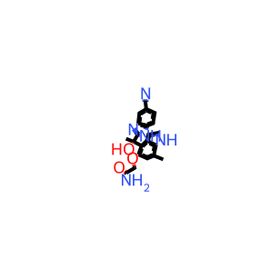 Cc1cc(OCC(N)=O)c(C(C)(O)c2nc3cc(C#N)ccc3[nH]2)c2cc[nH]c12